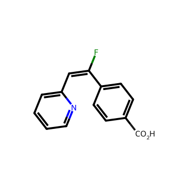 O=C(O)c1ccc(/C(F)=C\c2ccccn2)cc1